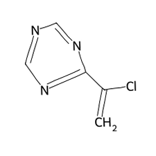 C=C(Cl)c1ncncn1